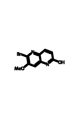 COc1cc2nc(O)ccc2nc1Br